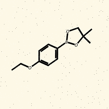 CCOc1ccc(B2OCC(C)(C)O2)cc1